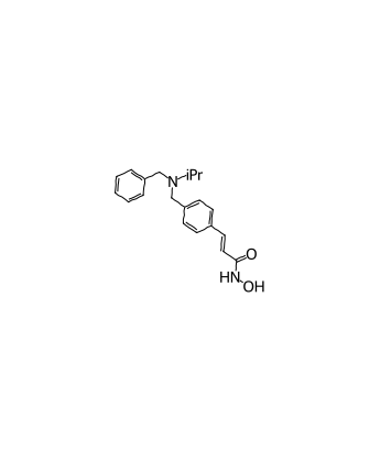 CC(C)N(Cc1ccccc1)Cc1ccc(/C=C/C(=O)NO)cc1